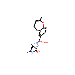 Cc1cc(C)c(CNC(O)c2ccc3c(c2)CCCC(C)O3)c(=O)[nH]1